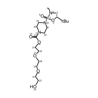 CN(C)P(=O)(OCC(C)(C)C)N1CCN(C(=O)OCCOCCOCCO)CC1